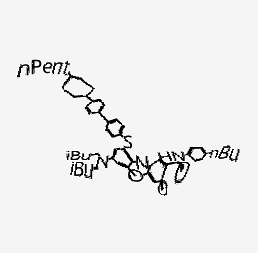 CCCCCC1CCC(c2ccc(-c3ccc(Sc4cc(N(CC(C)CC)CC(C)CC)cc5oc6cc(=O)c(C(=O)Nc7ccc(CCCC)cc7)cc-6nc45)cc3)cc2)CC1